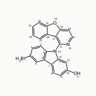 Bc1ccc2c(c1)c1ccc(O)cc1n2-c1nccc2oc3ccccc3c12